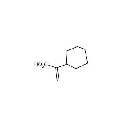 C=C(C(=O)O)C1CCCCC1